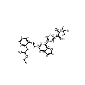 CCOC(=O)Cc1ccccc1OCc1cc(-c2csc(C(=N)[S+]([O-])C(C)(C)C)n2)c2occc2c1